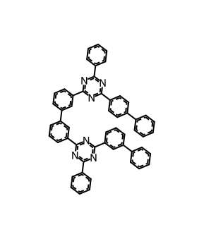 c1ccc(-c2ccc(-c3nc(-c4ccccc4)nc(-c4cccc(-c5cccc(-c6nc(-c7ccccc7)nc(-c7cccc(-c8ccccc8)c7)n6)c5)c4)n3)cc2)cc1